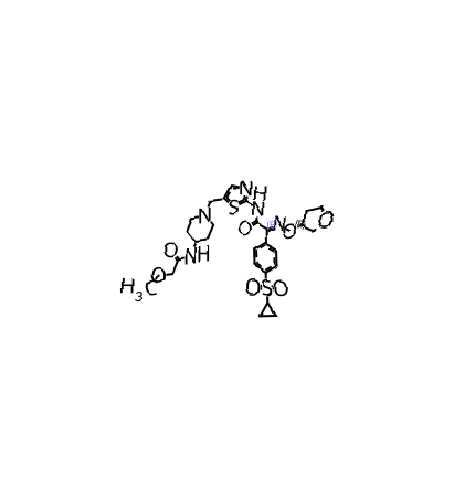 COCC(=O)NC1CCN(Cc2cnc(NC(=O)/C(=N/O[C@@H]3CCOC3)c3ccc(S(=O)(=O)C4CC4)cc3)s2)CC1